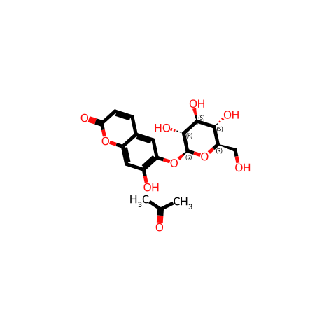 CC(C)=O.O=c1ccc2cc(O[C@@H]3O[C@H](CO)[C@@H](O)[C@H](O)[C@H]3O)c(O)cc2o1